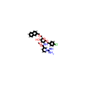 CO[C@H]1[C@H](O)[C@@H](COCc2ccc3ccccc3c2)OC(OCc2ccc(Cl)cc2)[C@@H]1NC(=O)C1CCCN(C(=N)N)C1